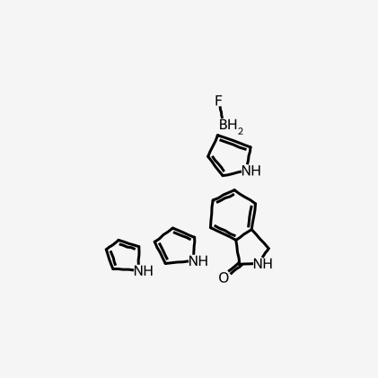 BF.O=C1NCc2ccccc21.c1cc[nH]c1.c1cc[nH]c1.c1cc[nH]c1